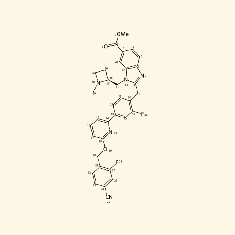 COC(=O)c1ccc2nc(Cc3ccc(-c4cccc(OCc5ccc(C#N)cc5F)n4)cc3F)n(C[C@@H]3CCN3C)c2c1